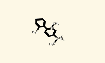 Cc1ccccc1-c1ccc([SiH](C)C)c[n+]1C